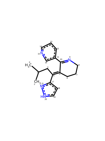 CC(C)CC(=C1CCCN=C1c1cccnc1)c1cc[nH]n1